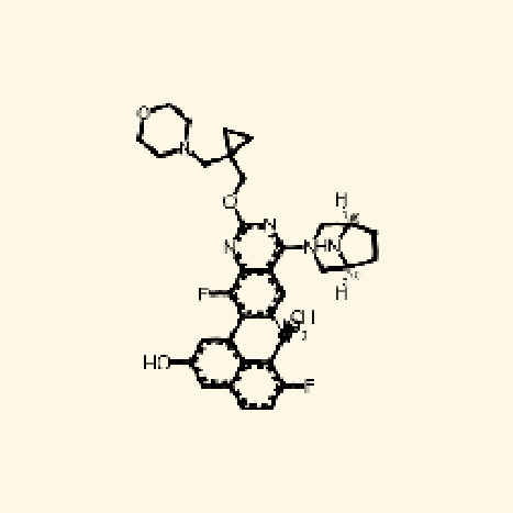 C#Cc1c(F)ccc2cc(O)cc(-c3c([N+](=O)[O-])cc4c(N5C[C@H]6CC[C@@H](C5)N6)nc(OCC5(CN6CCOCC6)CC5)nc4c3F)c12